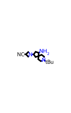 CC(C)(C)N1CCC2(CC1)CC(N1CC(C#N)C1)CC2N